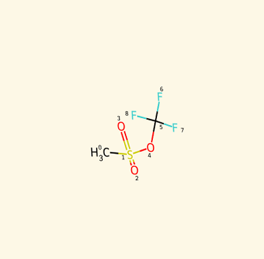 CS(=O)(=O)OC(F)(F)F